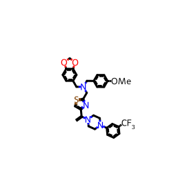 C=C(c1csc(CN(Cc2ccc(OC)cc2)Cc2ccc3c(c2)OCO3)n1)N1CCN(c2cccc(C(F)(F)F)c2)CC1